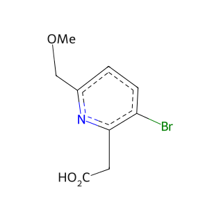 COCc1ccc(Br)c(CC(=O)O)n1